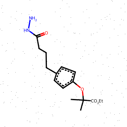 CCOC(=O)C(C)(C)Oc1ccc(CCCC(=O)NN)cc1